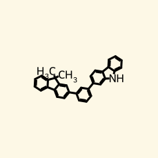 CC1(C)c2ccccc2-c2ccc(-c3cccc(-c4ccc5c(c4)[nH]c4ccccc45)c3)cc21